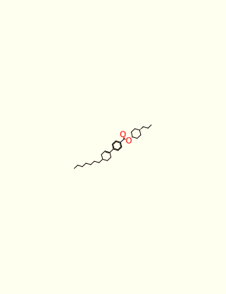 CCCCCCCC1CC=C(c2ccc(C(=O)O[C@H]3CC[C@H](CCC)CC3)cc2)CC1